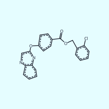 O=C(OCc1ccccc1Cl)c1ccc(Oc2cnc3ccccc3n2)cc1